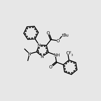 CN(C)c1nc(NC(=O)c2ccccc2C(F)(F)F)c(C(=O)OC(C)(C)C)n1-c1ccccc1